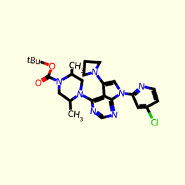 CC1CN(c2ncnc3c2c(N2CCC2)cn3-c2cc(Cl)ccn2)C(C)CN1C(=O)OC(C)(C)C